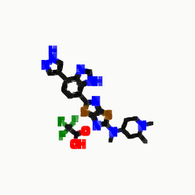 CC1CC(N(C)c2nc3sc(-c4ccc(-c5cn[nH]c5)c5nc[nH]c45)nc3s2)CCN1C.O=C(O)C(F)(F)F